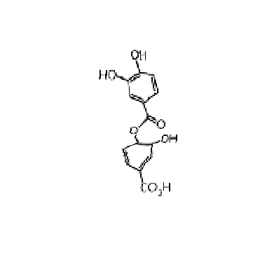 O=C(O)c1ccc(OC(=O)c2ccc(O)c(O)c2)c(O)c1